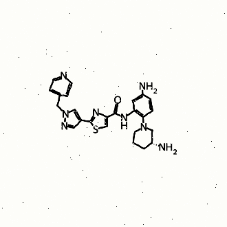 Nc1ccc(N2CCC[C@@H](N)C2)c(NC(=O)c2csc(-c3cnn(Cc4ccncc4)c3)n2)c1